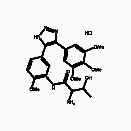 COc1ccc(-c2[nH]nnc2-c2cc(OC)c(OC)c(OC)c2)cc1NC(=O)C(N)C(C)O.Cl